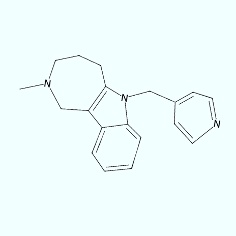 CN1CCCc2c(c3ccccc3n2Cc2ccncc2)C1